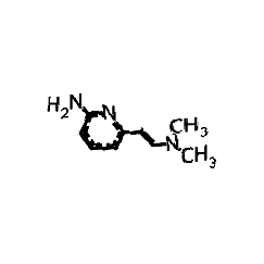 CN(C)/C=C/c1cccc(N)n1